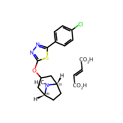 CN1[C@@H]2CC[C@H]1CC(Oc1nnc(-c3ccc(Cl)cc3)s1)C2.O=C(O)C=CC(=O)O